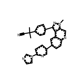 Cn1nc(-c2ccc(C(C)(C)C#N)cc2)c2c3cc(-c4ccc(-n5ccnc5)nc4)ccc3ncc21